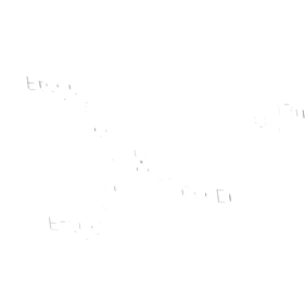 CCOC(=O)C=COCC(COC=CC(=O)OCC)(COC=CC(=O)OCC)COCCCCCCCCO[Si](C)(C)C(C)(C)C